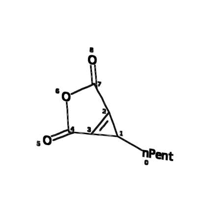 CCCCCC1C2=C1C(=O)OC2=O